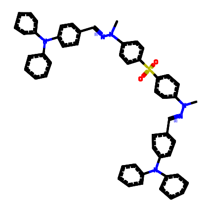 CN(/N=C/c1ccc(N(c2ccccc2)c2ccccc2)cc1)c1ccc(S(=O)(=O)c2ccc(N(C)/N=C/c3ccc(N(c4ccccc4)c4ccccc4)cc3)cc2)cc1